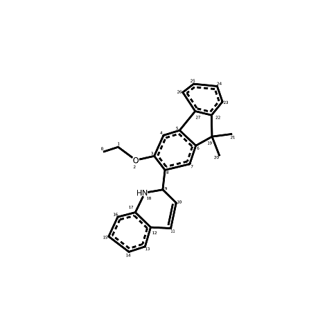 CCOc1cc2c(cc1C1C=Cc3ccccc3N1)C(C)(C)c1ccccc1-2